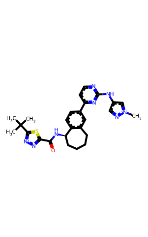 Cn1cc(Nc2nccc(-c3ccc4c(c3)CCCC[C@H]4NC(=O)c3nnc(C(C)(C)C)s3)n2)cn1